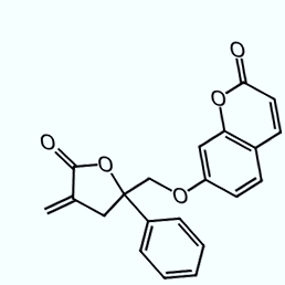 C=C1CC(COc2ccc3ccc(=O)oc3c2)(c2ccccc2)OC1=O